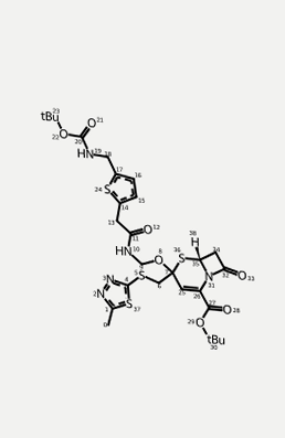 Cc1nnc(SCC2(OCNC(=O)Cc3ccc(CNC(=O)OC(C)(C)C)s3)C=C(C(=O)OC(C)(C)C)N3C(=O)C[C@H]3S2)s1